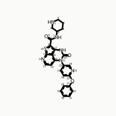 O=C(NC1CCCNC1)c1sc2nccc3c2c1NC(=O)N3c1ccc(Oc2ccccc2)nc1